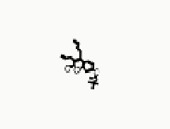 C=CCCc1c(CC=C)c(=O)oc2cc(O[Si](C)(C)C(C)(C)C)ccc12